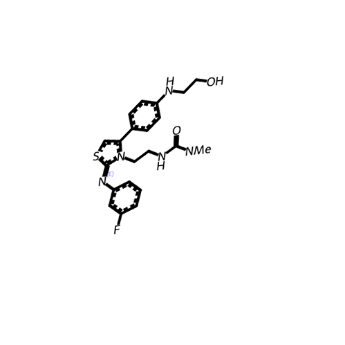 CNC(=O)NCCn1c(-c2ccc(NCCO)cc2)cs/c1=N/c1cccc(F)c1